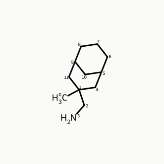 CC1(CN)CC2CCCC(C2)C1